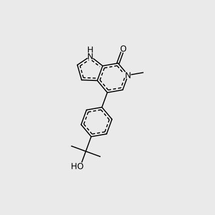 Cn1cc(-c2ccc(C(C)(C)O)cc2)c2cc[nH]c2c1=O